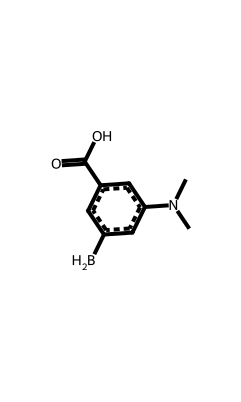 Bc1cc(C(=O)O)cc(N(C)C)c1